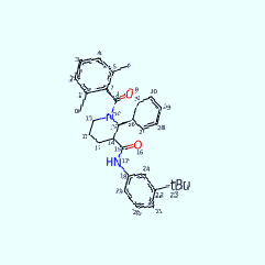 Cc1cccc(C)c1C(=O)N1CCCC(C(=O)Nc2cccc(C(C)(C)C)c2)C1[C@@H]1C=CC=CC1